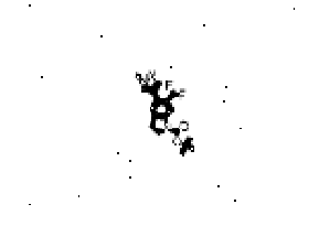 Cn1cc(-c2cc3c(cc2C(F)F)N(C(=O)OC(C)(C)C)CC3)cn1